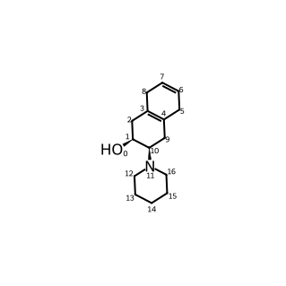 O[C@H]1CC2=C(CC=CC2)C[C@H]1N1CCCCC1